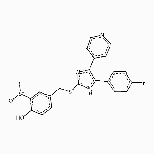 C[S+]([O-])c1cc(CSc2nc(-c3ccncc3)c(-c3ccc(F)cc3)[nH]2)ccc1O